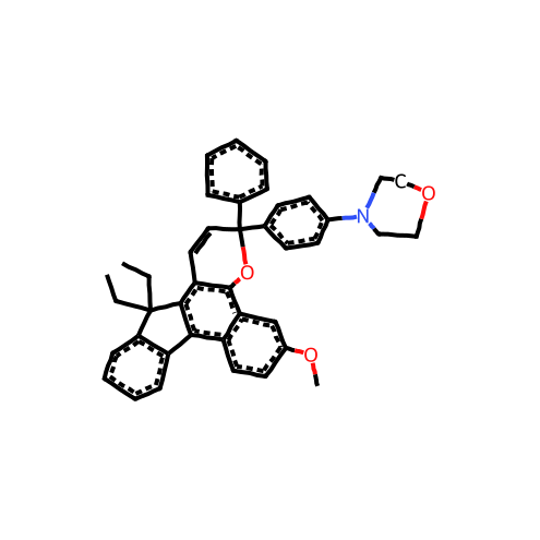 CCC1(CC)c2ccccc2-c2c1c1c(c3cc(OC)ccc23)OC(c2ccccc2)(c2ccc(N3CCOCC3)cc2)C=C1